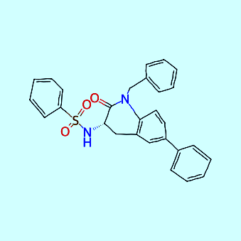 O=C1[C@@H](NS(=O)(=O)c2ccccc2)Cc2cc(-c3ccccc3)ccc2N1Cc1ccccc1